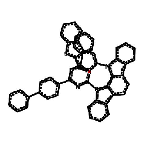 c1ccc(-c2ccc(-c3cc(-c4ccccc4)nc(-n4c5ccccc5c5ccc6c7ccccc7n(-c7ccc8sc9ccccc9c8c7)c6c54)n3)cc2)cc1